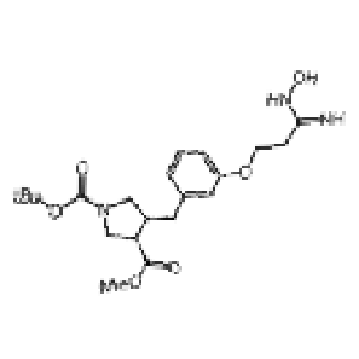 COC(=O)[C@H]1CN(C(=O)OC(C)(C)C)C[C@H]1Cc1cccc(OCCC(=N)NO)c1